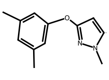 Cc1cc(C)cc(Oc2c[c]n(C)n2)c1